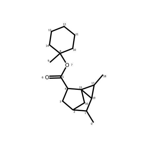 CC1C2CC(C(=O)OC3(C)CCCCC3)C3(C2)C(C)C13